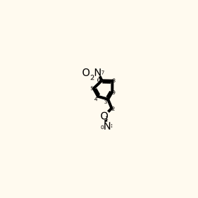 [N]OCc1ccc([N+](=O)[O-])cc1